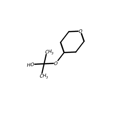 CC(C)(O)OC1CCOCC1